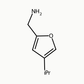 CC(C)c1coc(CN)c1